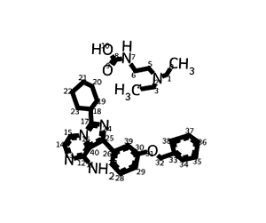 CCN(CC)CCNC(=O)O.Nc1nccn2c(C3CCCCC3)nc(-c3cccc(OCc4ccccc4)c3)c12